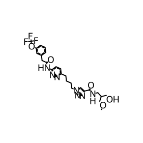 COCC(CO)CNC(=O)c1cn(CCCCc2ccc(NC(=O)Cc3cccc(OC(F)(F)F)c3)nn2)nn1